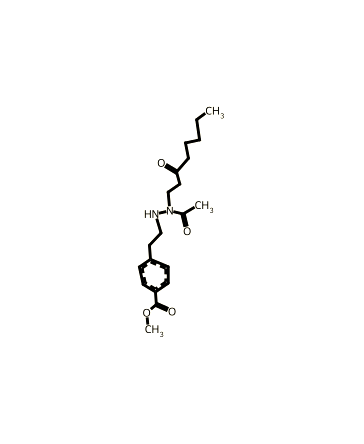 CCCCCC(=O)CCN(NCCc1ccc(C(=O)OC)cc1)C(C)=O